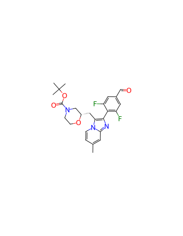 Cc1ccn2c(C[C@H]3CN(C(=O)OC(C)(C)C)CCO3)c(-c3c(F)cc(C=O)cc3F)nc2c1